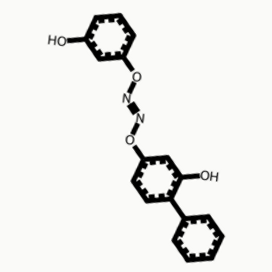 Oc1cccc(ON=NOc2ccc(-c3ccccc3)c(O)c2)c1